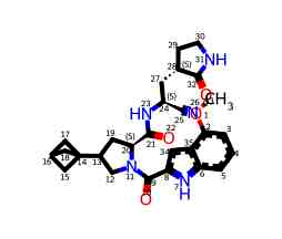 COc1cccc2[nH]c(C(=O)N3CC(C45CC(C4)C5)C[C@H]3C(=O)N[C@H](C#N)C[C@@H]3CCNC3=O)cc12